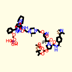 Cc1ncsc1-c1ccc([C@H](C)NC(=O)[C@@H]2C[C@@H](OC(=O)OC(C)C(C)(C)SS(C)(=O)=O)CN2C(=O)C(c2cc(OCCN3CCN(CCOc4cc(N5C6CCC5CN(c5cc(-c7ccccc7OCOP(=O)(O)O)nnc5N)C6)ccn4)[C@H](C)C3)no2)C(C)C)cc1